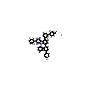 Cc1ccc(-c2cccc3c2sc2cc(-c4ccc(-c5ccccc5)cc4)c4c(c5ccc(-c6ccccc6)cc5n4-c4ccccc4)c23)cc1